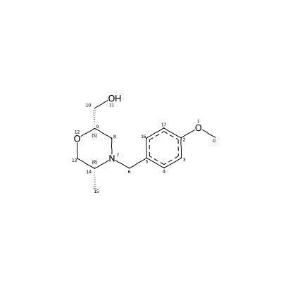 COc1ccc(CN2C[C@@H](CO)OC[C@H]2C)cc1